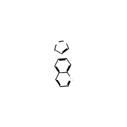 C1=CSSC1.c1ccc2ncccc2c1